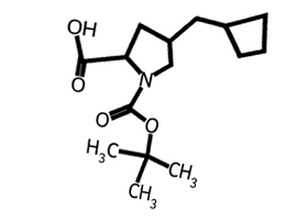 CC(C)(C)OC(=O)N1CC(CC2CCC2)CC1C(=O)O